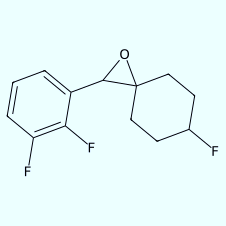 Fc1cccc(C2OC23CCC(F)CC3)c1F